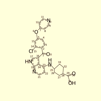 O=C(c1ccc(Oc2ccncc2)cc1Cl)c1c[nH]c2nccc(NC3CCC(C(=O)O)CC3)c12